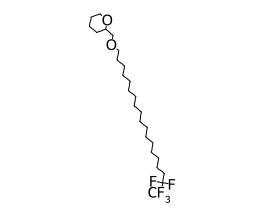 FC(F)(F)C(F)(F)CCCCCCCCCCCCCCCCCOCC1CCCCO1